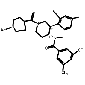 CC(=O)N1CCC(C(=O)N2CC[C@@H](N(C)C(=O)c3cc(C(F)(F)F)cc(C(F)(F)F)c3)[C@H](c3ccc(F)cc3C)C2)CC1